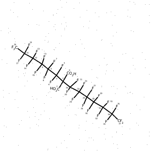 O=C(O)C(C(=O)O)(C(F)(F)C(F)(F)C(F)(F)C(F)(F)C(F)(F)C(F)(F)F)C(F)(F)C(F)(F)C(F)(F)C(F)(F)C(F)(F)C(F)(F)C(F)(F)F